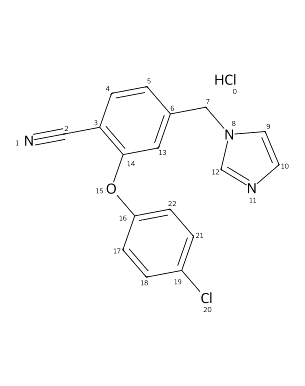 Cl.N#Cc1ccc(Cn2ccnc2)cc1Oc1ccc(Cl)cc1